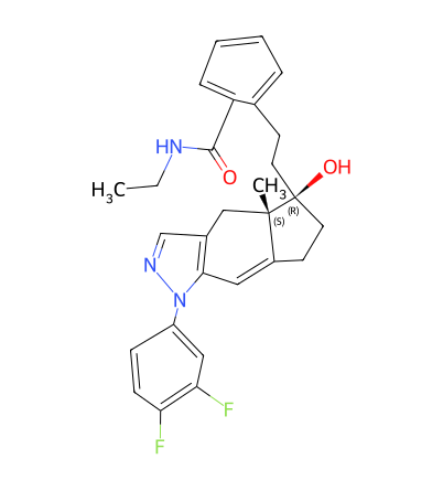 CCNC(=O)c1ccccc1CC[C@]1(O)CCC2=Cc3c(cnn3-c3ccc(F)c(F)c3)C[C@@]21C